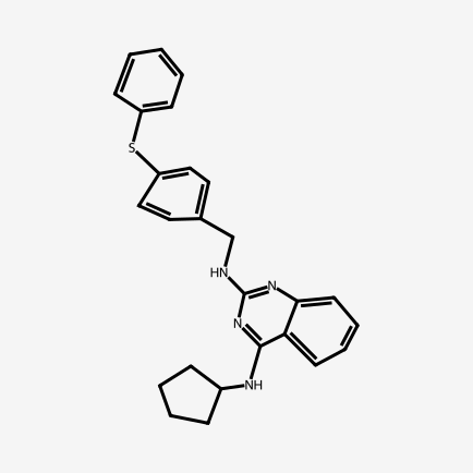 c1ccc(Sc2ccc(CNc3nc(NC4CCCC4)c4ccccc4n3)cc2)cc1